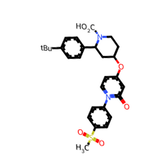 CC(C)(C)c1ccc(C2CC(Oc3ccn(-c4ccc(S(C)(=O)=O)cc4)c(=O)c3)CCN2C(=O)O)cc1